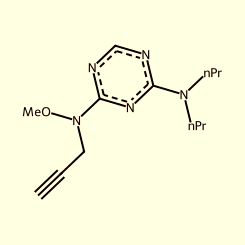 C#CCN(OC)c1ncnc(N(CCC)CCC)n1